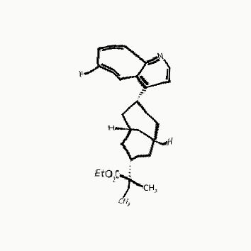 CCOC(=O)C(C)(C)[C@H]1C[C@H]2C[C@@H](c3ccnc4ccc(F)cc34)C[C@H]2C1